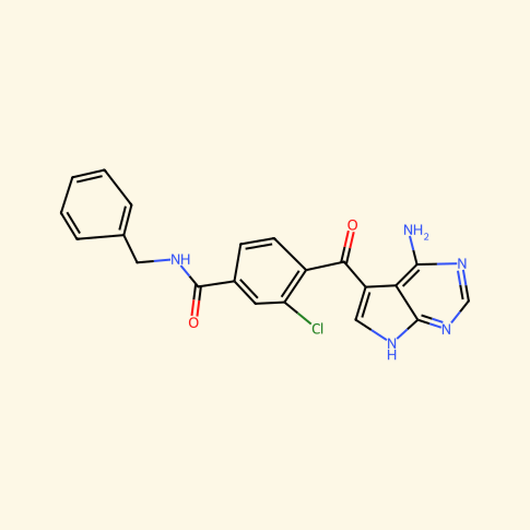 Nc1ncnc2[nH]cc(C(=O)c3ccc(C(=O)NCc4ccccc4)cc3Cl)c12